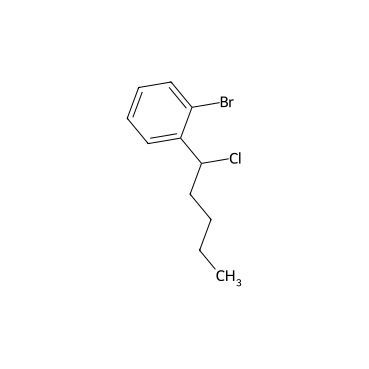 CCCCC(Cl)c1ccccc1Br